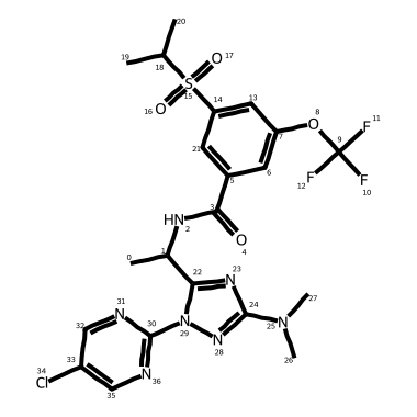 CC(NC(=O)c1cc(OC(F)(F)F)cc(S(=O)(=O)C(C)C)c1)c1nc(N(C)C)nn1-c1ncc(Cl)cn1